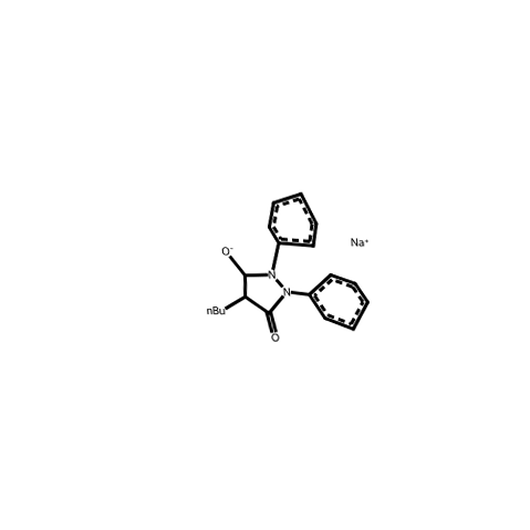 CCCCC1C(=O)N(c2ccccc2)N(c2ccccc2)C1[O-].[Na+]